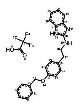 O=C(O)C(F)(F)F.c1ccc(COc2ccc(CCNc3nc4ccccc4[nH]3)cc2)cc1